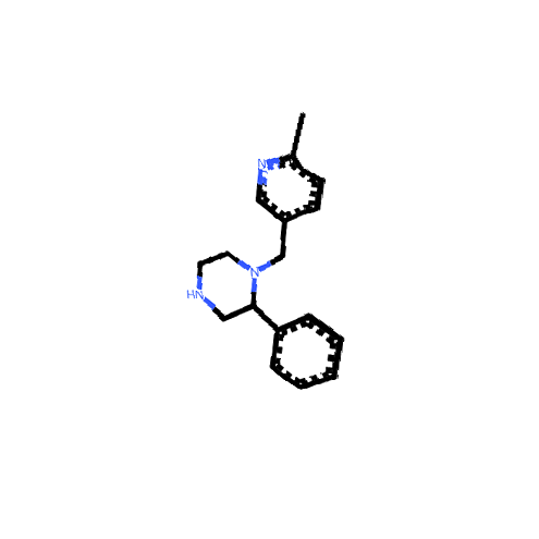 Cc1ccc(CN2CCNCC2c2ccccc2)cn1